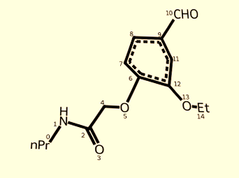 CCCNC(=O)COc1ccc(C=O)cc1OCC